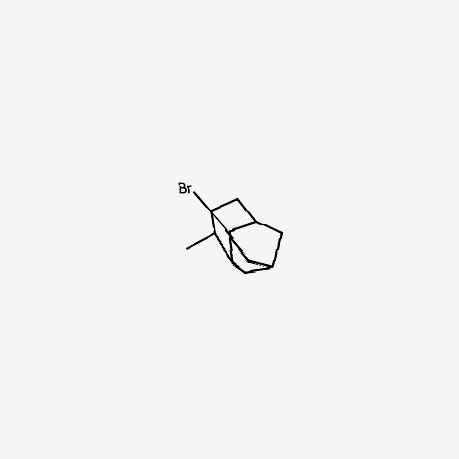 CC1C2CC3CC(C2)CC1(Br)C3